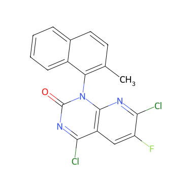 Cc1ccc2ccccc2c1-n1c(=O)nc(Cl)c2cc(F)c(Cl)nc21